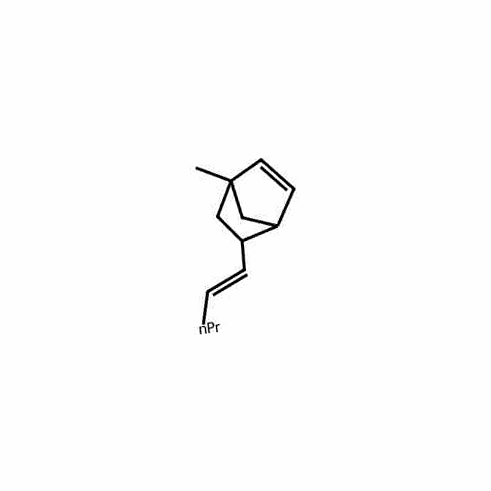 CCCC=CC1CC2(C)C=CC1C2